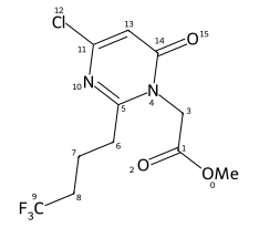 COC(=O)Cn1c(CCCC(F)(F)F)nc(Cl)cc1=O